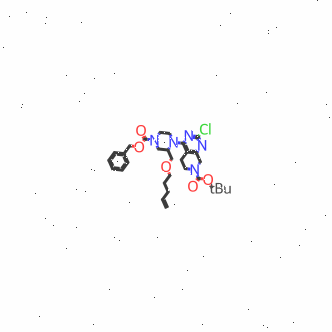 C=CCCCOCC1CN(C(=O)OCc2ccccc2)CCN1c1nc(Cl)nc2c1CCN(C(=O)OC(C)(C)C)C2